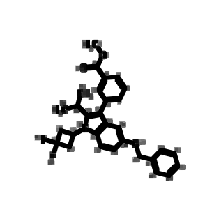 COC(=O)c1cccc(-c2c(C(C)C)n(C3CC(F)(F)C3)c3ccc(OCc4ccccc4)cc23)c1